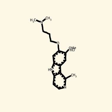 COc1cc2c(cc1OCCCN(C)C)[nH]c1ccnc(C)c12.Cl